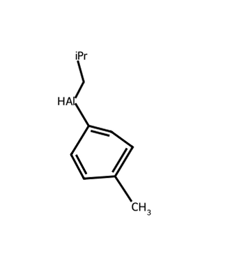 Cc1cc[c]([AlH][CH2]C(C)C)cc1